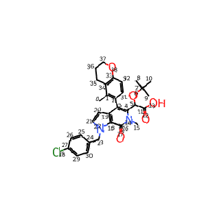 Cc1c(-c2c(C(OC(C)(C)C)C(=O)O)n(C)c(=O)c3c2ccn3Cc2ccc(Cl)cc2)ccc2c1CCCO2